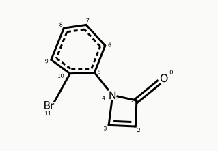 O=C1C=CN1c1ccccc1Br